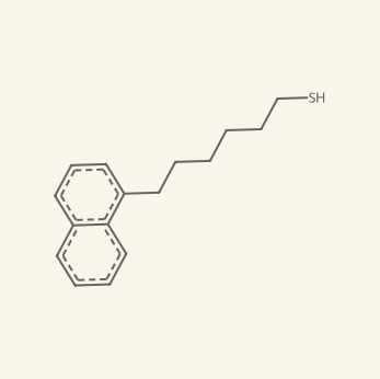 SCCCCCCc1cccc2ccccc12